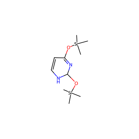 C[Si](C)(C)OC1=NC(O[Si](C)(C)C)NC=C1